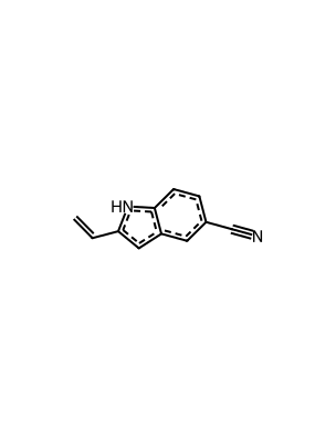 C=Cc1cc2cc(C#N)ccc2[nH]1